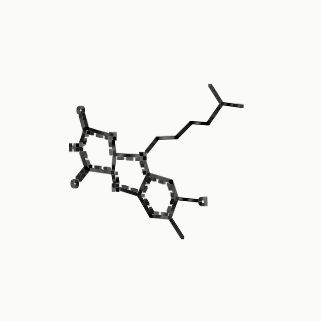 Cc1cc2nc3c(=O)[nH]c(=O)nc-3n(CCCCC(C)C)c2cc1Cl